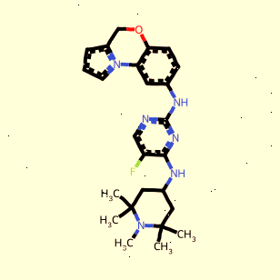 CN1C(C)(C)CC(Nc2nc(Nc3ccc4c(c3)-n3cccc3CO4)ncc2F)CC1(C)C